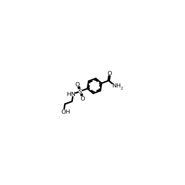 NC(=O)c1ccc(S(=O)(=O)NCCO)cc1